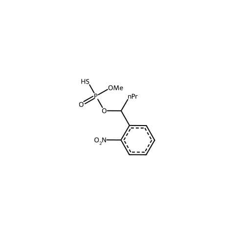 CCCC(OP(=O)(S)OC)c1ccccc1[N+](=O)[O-]